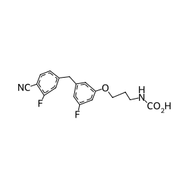 N#Cc1ccc(Cc2cc(F)cc(OCCCNC(=O)O)c2)cc1F